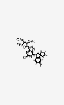 CC[C@H]1O[C@@H](n2cnc3c(N4CC5(CCCC5)c5cc(F)ccc54)nc(Cl)nc32)[C@@H](OC(C)=O)C1OC(C)=O